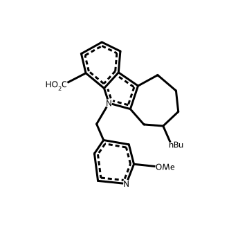 CCCCC1CCCc2c(n(Cc3ccnc(OC)c3)c3c(C(=O)O)cccc23)C1